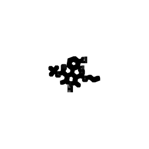 C=CCOC(=O)C1=C(C)NC(C)=C(C(=O)OC(C)(C)C)C1c1cccc(Cl)c1Cl